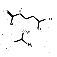 CC(N)C(=O)O.N=C(N)NCCC(N)C(=O)O